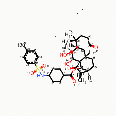 C=C1C(=O)[C@]23[C@H](OC(=O)C4CCC(NS(=O)(=O)c5ccc(C(C)(C)C)cc5)CC4)[C@H]1CC[C@H]2[C@@]12CO[C@]3(O)[C@@H](O)[C@@H]1C(C)(C)CCC2=O